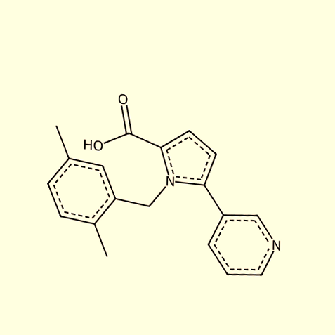 Cc1ccc(C)c(Cn2c(C(=O)O)ccc2-c2cccnc2)c1